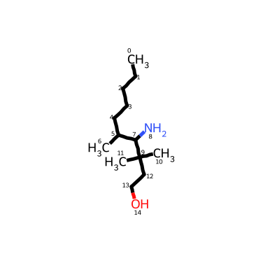 CCCCCC(C)C(N)C(C)(C)CCO